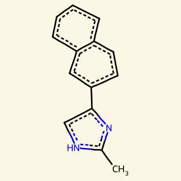 Cc1nc(-c2ccc3ccccc3c2)c[nH]1